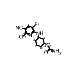 N#Cc1cc(F)c(NC2CCCC(OC(N)=O)C2)nc1Cl